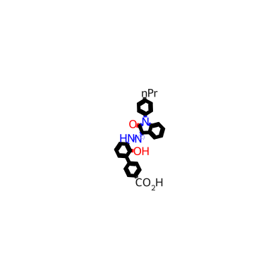 CCCc1ccc(N2C(=O)/C(=N\Nc3cccc(-c4ccc(C(=O)O)cc4)c3O)c3ccccc32)cc1